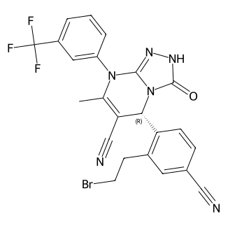 CC1=C(C#N)[C@@H](c2ccc(C#N)cc2CCBr)n2c(n[nH]c2=O)N1c1cccc(C(F)(F)F)c1